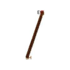 CCOS(=S)(=S)SSSSSSSSSSSSSSSSSSSSSSSSSSSSSSSSSSSSSSSSSSSSSSSSSSSSSSSSSSSS